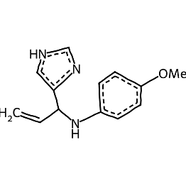 C=CC(Nc1ccc(OC)cc1)c1c[nH]cn1